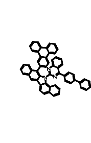 c1ccc(-c2ccc(-c3nc(-n4c5c(-c6ccc7c8ccccc8c8ccccc8c7c6)c6ccccc6cc5c5ccc6ccccc6c54)nc4ccccc34)cc2)cc1